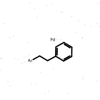 CC(=O)CCc1ccccc1.[Pd]